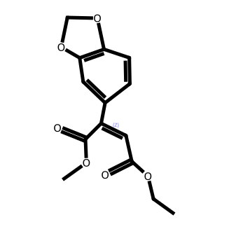 CCOC(=O)/C=C(\C(=O)OC)c1ccc2c(c1)OCO2